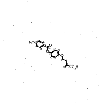 C=C(CCOc1ccc(OC(=O)c2ccc(C#N)cc2)cc1)C(=O)O